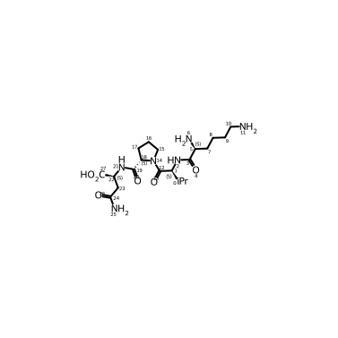 CC(C)[C@H](NC(=O)[C@@H](N)CCCCN)C(=O)N1CCC[C@H]1C(=O)N[C@@H](CC(N)=O)C(=O)O